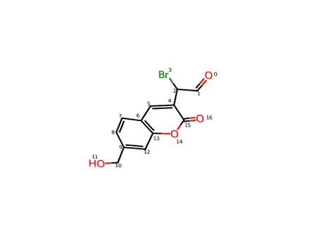 O=CC(Br)c1cc2ccc(CO)cc2oc1=O